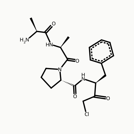 C[C@H](N)C(=O)N[C@@H](C)C(=O)N1CCC[C@H]1C(=O)N[C@@H](Cc1ccccc1)C(=O)CCl